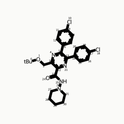 CC(C)(C)OCc1nc(-c2ccc(Cl)cc2)c(-c2ccc(Cl)cc2)nc1C(=O)NN1CCCCC1